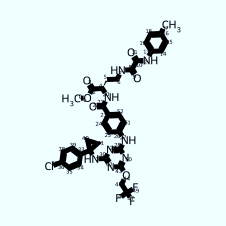 COC(=O)[C@H](CCNC(=O)C(=O)Nc1ccc(C)cc1)NC(=O)c1ccc(Nc2nc(NC3(c4ccc(Cl)cc4)CC3)nc(OCC(F)(F)F)n2)cc1